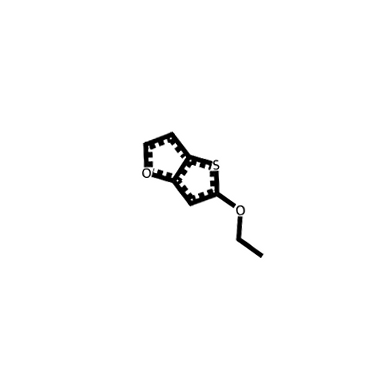 CCOc1cc2occc2s1